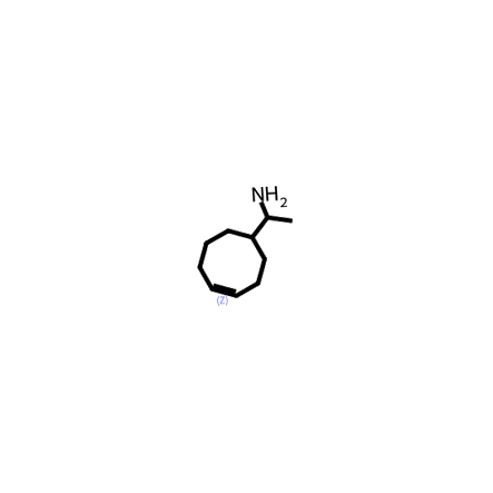 CC(N)C1CC/C=C\CCC1